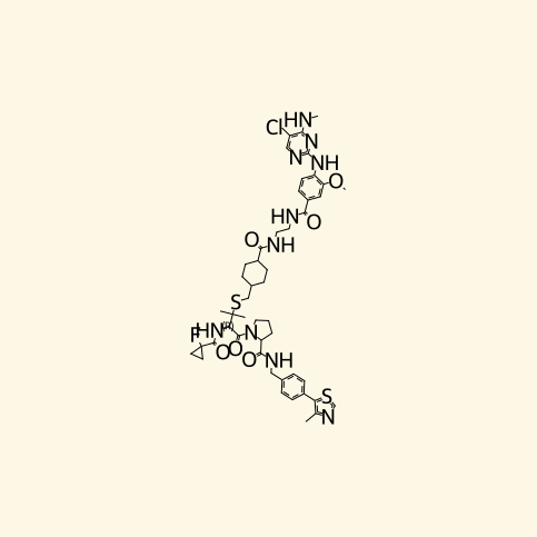 CNc1nc(Nc2ccc(C(=O)NCCNC(=O)C3CCC(CSC(C)(C)[C@H](NC(=O)C4(F)CC4)C(=O)N4CCCC4C(=O)NCc4ccc(-c5scnc5C)cc4)CC3)cc2OC)ncc1Cl